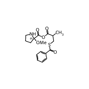 CO[C@@]1(C(=O)OC(=O)C(C)CSC(=O)c2ccccc2)CCCN1